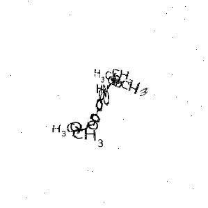 CCO[Si](CCCNC(=O)Oc1ccc(-c2ccc(OCCC(C)OC)cc2)cc1)(OCC)OCC